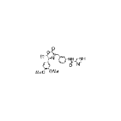 CCC1OC(=O)N(Cc2cccc(NC(=O)c3c[nH]cn3)c2)N=C1c1ccc(OC)c(OC)c1